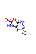 Cc1cc2[nH]c(=O)oc2nn1